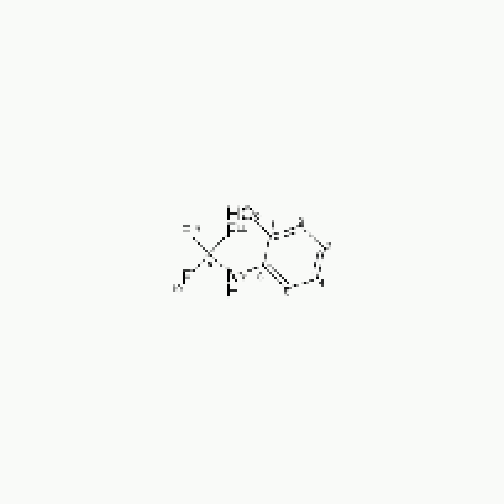 Oc1ccccc1NC(F)(F)F